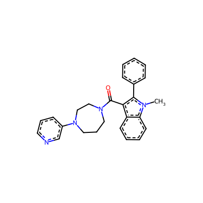 Cn1c(-c2ccccc2)c(C(=O)N2CCCN(c3cccnc3)CC2)c2ccccc21